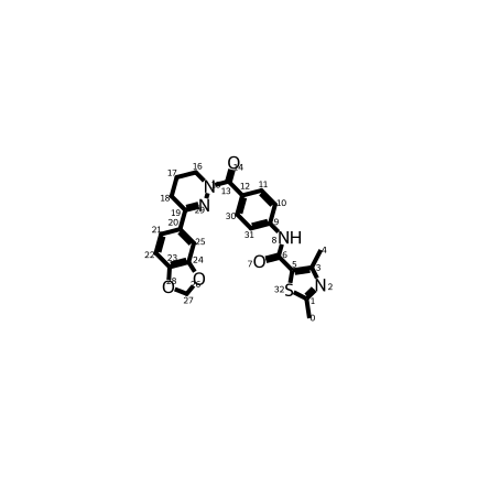 Cc1nc(C)c(C(=O)Nc2ccc(C(=O)N3CCCC(c4ccc5c(c4)OCO5)=N3)cc2)s1